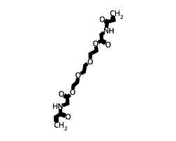 C=CC(=O)NCC(=O)OCCOCCOCCOC(=O)CNC(=O)C=C